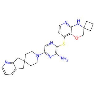 Nc1nc(N2CCC3(CC2)Cc2cccnc2C3)cnc1Sc1ccnc2c1OCC1(CCC1)N2